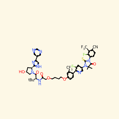 CC(C)(C)[C@H](NC(=O)COCCCCOc1ccc(-c2ncc(N3C(=S)N(c4ccc(C#N)c(C(F)(F)F)c4F)C(=O)C3(C)C)cc2F)c(C(F)(F)F)c1)C(=O)N1C[C@H](O)C[C@H]1c1nc(-c2cncnc2)c[nH]1